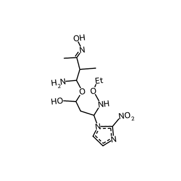 CCONC(CC(O)OC(N)C(C)C(C)=NO)n1ccnc1[N+](=O)[O-]